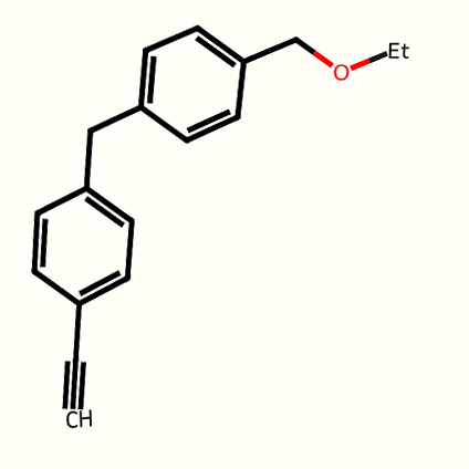 C#Cc1ccc(Cc2ccc(COCC)cc2)cc1